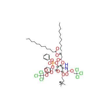 CCCCCCCCCCCC(=O)O[C@H](CCCCCCCCCCC)CC(=O)O[C@@H]1[C@H](NC(=O)OCC(Cl)(Cl)Cl)[C@@H](OCC[Si](C)(C)C)O[C@H](COC(=O)OC(C)(C)C(Cl)(Cl)Cl)[C@H]1OP(=O)(Oc1ccccc1)Oc1ccccc1